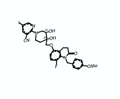 COc1ccc(CN2C(=O)CCc3c(OC[C@]4(O)CCN(c5ncc(I)cc5C#N)C[C@H]4O)ccc(F)c32)cc1